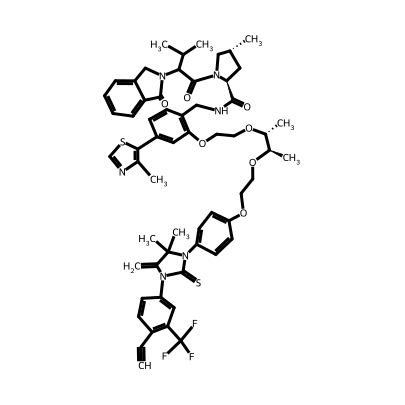 C#Cc1ccc(N2C(=C)C(C)(C)N(c3ccc(OCCO[C@H](C)[C@@H](C)OCCOc4cc(-c5scnc5C)ccc4CNC(=O)[C@@H]4C[C@@H](C)CN4C(=O)C(C(C)C)N4Cc5ccccc5C4=O)cc3)C2=S)cc1C(F)(F)F